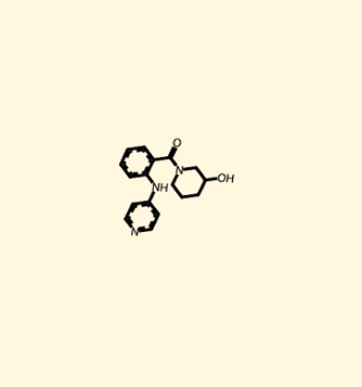 O=C(c1ccccc1Nc1ccncc1)N1CCCC(O)C1